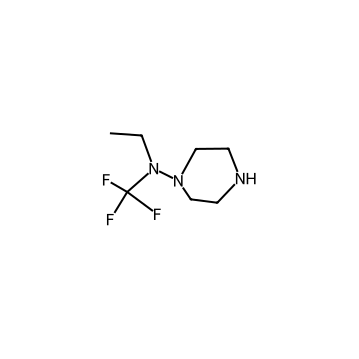 CCN(N1CCNCC1)C(F)(F)F